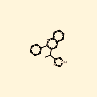 CC(c1c[nH]cn1)c1cc2ccccc2nc1-c1ccccc1